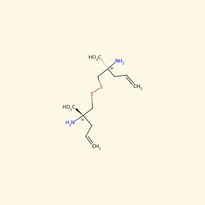 C=CC[C@](N)(CSSC[C@@](N)(CC=C)C(=O)O)C(=O)O